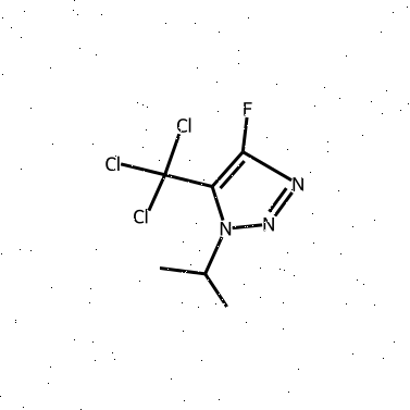 CC(C)n1nnc(F)c1C(Cl)(Cl)Cl